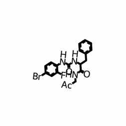 CC(=O)CNC(=O)C(Cc1ccccc1)NC(=O)Nc1ccc(Br)cc1F